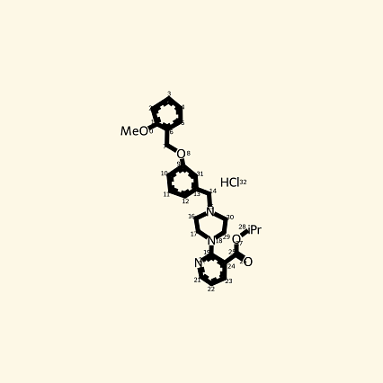 COc1ccccc1COc1cccc(CN2CCN(c3ncccc3C(=O)OC(C)C)CC2)c1.Cl